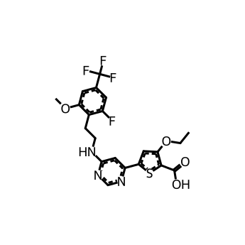 CCOc1cc(-c2cc(NCCc3c(F)cc(C(F)(F)F)cc3OC)ncn2)sc1C(=O)O